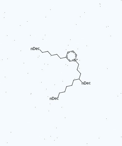 CCCCCCCCCCCCCCCc1ccc[n+](CCCC(CCCCCCCCCC)CCCCCCCCCCCCCCC)c1